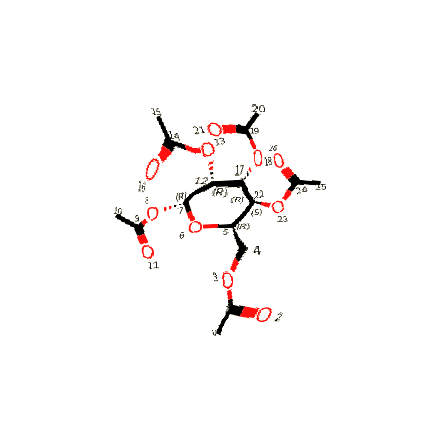 CC(=O)OC[C@H]1O[C@H](OC(C)=O)[C@H](OC(C)=O)[C@H](OC(C)=O)[C@H]1OC(C)=O